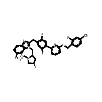 CC(=O)N1C[C@H](F)C[C@@H]1Cn1c(Cc2cc(F)c(-c3cccc(OCc4ccc(C#N)cc4F)n3)cc2F)nc2ccc(C(=O)O)cc21